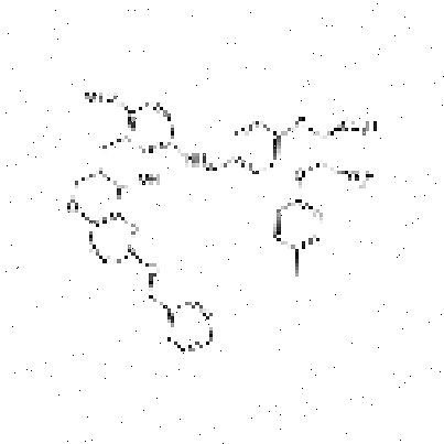 COc1ccc(N)cc1C[C@H]1COc2ccc(OCc3ccccc3)cc2[C@H]1O.Cc1ccc(O[C@@H](C(=O)O)[C@@H](Oc2ccc(C)cc2)C(=O)O)cc1